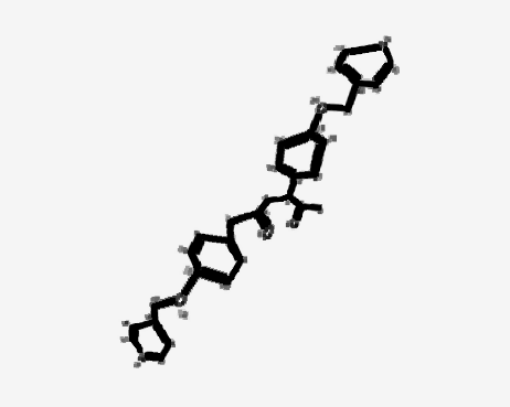 CC(=O)C(CC(=O)Cc1ccc(OCc2ccncc2)cc1)c1ccc(OCc2ccncc2)cc1